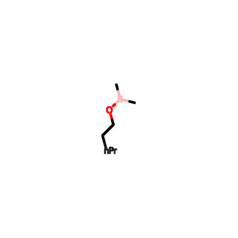 CCCCCOB(C)C